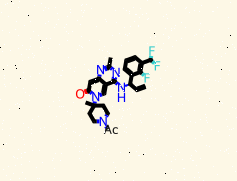 C=C[C@@H](Nc1nc(C)nc2cc(=O)n(C3(C)CCN(C(C)=O)CC3)cc12)c1cccc(C(F)F)c1F